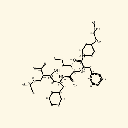 CCCC[C@H](NC(Cc1ccccc1)C(=O)N1CCC(OCOC)CC1)C(=O)N[C@@H](CC1CCCCC1)C[C@H](O)C(CSC(C)C)C(C)C